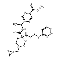 COC(=O)c1ccc(C(C)NC(=O)C2(NCCOc3ccccc3)CCN(CC3CC3)CC2)cc1